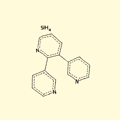 [SiH4].c1cncc(-c2cccnc2-c2cccnc2)c1